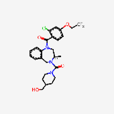 C[C@@H]1CN(C(=O)c2ccc(OCC(F)(F)F)cc2Cl)c2ccccc2CN1C(=O)N1CCC(CO)CC1